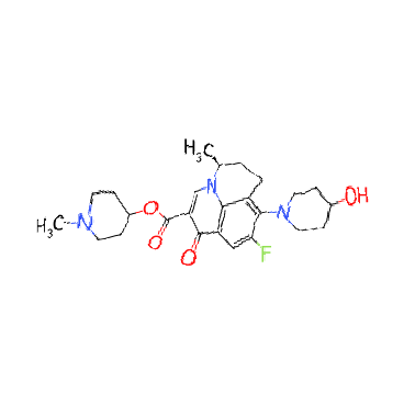 C[C@H]1CCc2c(N3CCC(O)CC3)c(F)cc3c(=O)c(C(=O)OC4CCN(C)CC4)cn1c23